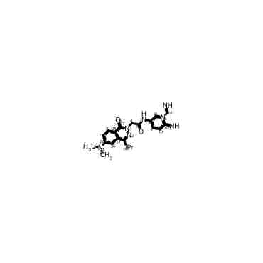 CC(C)c1nn(CC(=O)Nc2ccc(=N)n(C=N)c2)c(=O)c2ccc(N(C)C)cc12